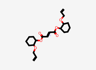 C=CCOC1CCCCC1OC(=O)/C=C/C(=O)OC1CCCCC1OCC=C